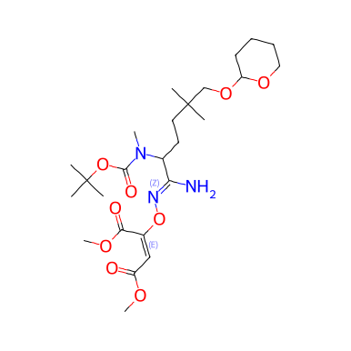 COC(=O)/C=C(/O/N=C(\N)C(CCC(C)(C)COC1CCCCO1)N(C)C(=O)OC(C)(C)C)C(=O)OC